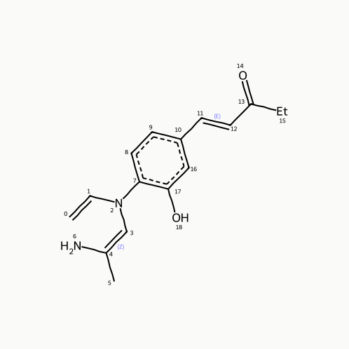 C=CN(/C=C(/C)N)c1ccc(/C=C/C(=O)CC)cc1O